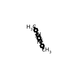 Cc1ccc(-c2nc3cc4sc(-c5ccc(C)cc5)nc4cc3s2)cc1